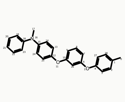 Cc1ccc(Oc2cccc(Oc3ccc(N(C)c4ccccc4)cc3)c2)cc1